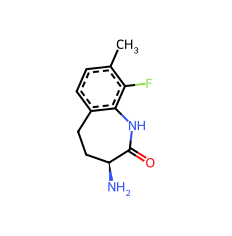 Cc1ccc2c(c1F)NC(=O)[C@@H](N)CC2